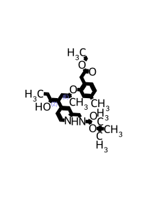 CCOC(=O)Cc1ccc(C)cc1O/C(C)=C/C(=C(/O)CC)c1ccnc(CNC(=O)OC(C)(C)C)c1